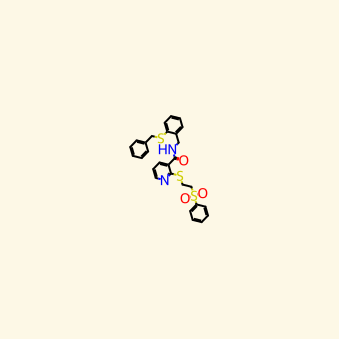 O=C(NCc1ccccc1SCc1ccccc1)c1cccnc1SCCS(=O)(=O)c1ccccc1